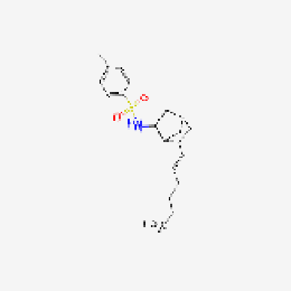 Cc1ccc(S(=O)(=O)NC2CC3CC(C=CCCCC(=O)O)C2C3)cc1